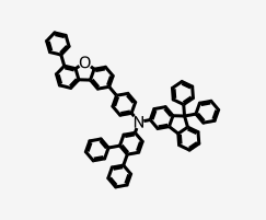 c1ccc(-c2ccc(N(c3ccc(-c4ccc5oc6c(-c7ccccc7)cccc6c5c4)cc3)c3ccc4c(c3)-c3ccccc3C4(c3ccccc3)c3ccccc3)cc2-c2ccccc2)cc1